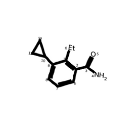 CCc1c(C(N)=O)cccc1C1CC1